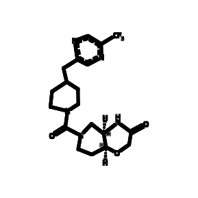 O=C1CO[C@H]2CCN(C(=O)N3CCC(Cc4cnc(C(F)(F)F)cn4)CC3)C[C@H]2N1